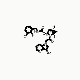 CC(=O)c1cn(CC(=O)N2[C@@H](OC(=O)NCc3cccc(Cl)c3F)C[C@H]3C[C@H]32)c2cccnc12